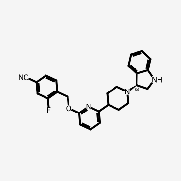 N#Cc1ccc(COc2cccc(C3CCN([C@@H]4CNc5ccccc54)CC3)n2)c(F)c1